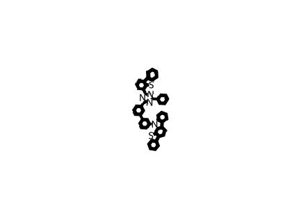 c1ccc(-c2nc(-c3cccc(-c4cccc(-n5c6ccccc6c6ccc7c8ccccc8sc7c65)c4)c3)nc(-c3cccc4c3sc3ccccc34)n2)cc1